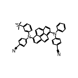 C[Si](C)(C)c1cccc(N(c2ccc(C#N)cc2)c2ccc3ccc4c(N(c5ccccc5)c5ccc(C#N)cc5)ccc5ccc2c3c54)c1